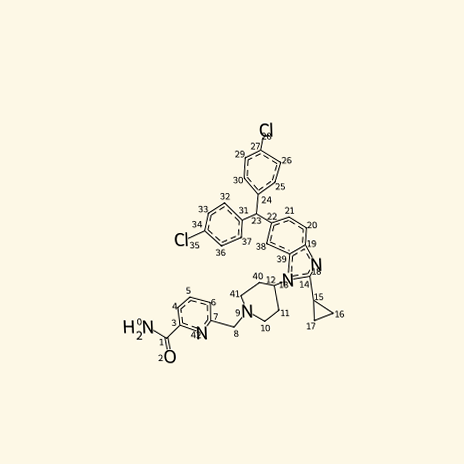 NC(=O)c1cccc(CN2CCC(n3c(C4CC4)nc4ccc(C(c5ccc(Cl)cc5)c5ccc(Cl)cc5)cc43)CC2)n1